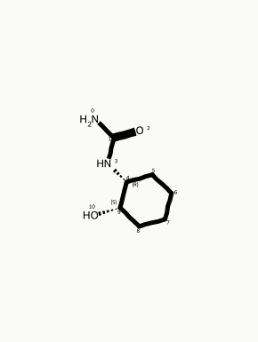 NC(=O)N[C@@H]1CCCC[C@@H]1O